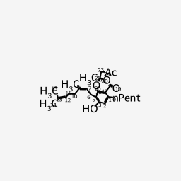 CCCCCc1cc(O)c(CC=C(C)CCC=C(C)C)c2c1C(=O)OC(C)(CC(C)=O)O2